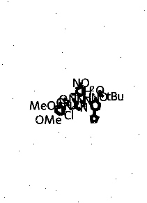 COc1cc(OC)c(Cl)c(N2Cc3cnc(NC4CC(C5CCCC5)CCC4NC(=O)OC(C)(C)C)nc3N(Cc3cccc([N+](=O)[O-])c3)C2=O)c1Cl